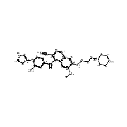 COc1cc2c(Nc3ccc(-n4ccnc4)c(Cl)c3)c(C#N)cnc2cc1OCCCN1CCOCC1